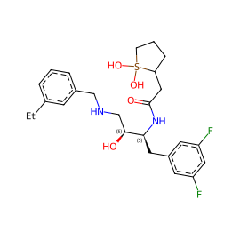 CCc1cccc(CNC[C@H](O)[C@H](Cc2cc(F)cc(F)c2)NC(=O)CC2CCCS2(O)O)c1